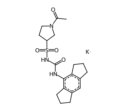 CC(=O)N1CCC(S(=O)(=O)NC(=O)Nc2c3c(cc4c2CCC4)CCC3)C1.[K]